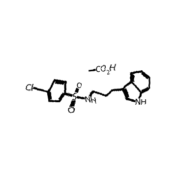 CC(=O)O.O=S(=O)(NCCCc1c[nH]c2ccccc12)c1ccc(Cl)cc1